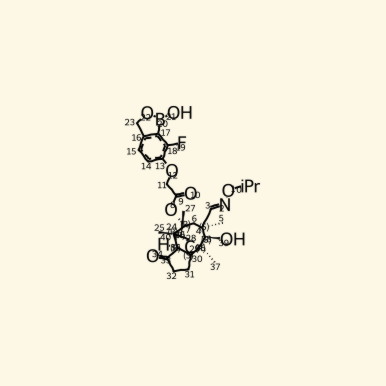 CC(C)ON=C[C@]1(C)C[C@@H](OC(=O)COc2ccc3c(c2F)B(O)OC3)[C@]2(C)[C@H](C)CC[C@]3(CCC(=O)[C@H]32)[C@@H](C)[C@@H]1O